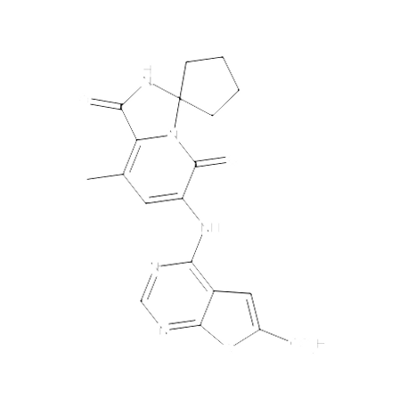 Cc1cc(Nc2ncnc3sc(C(=O)O)cc23)c(=O)n2c1C(=O)NC21CCCC1